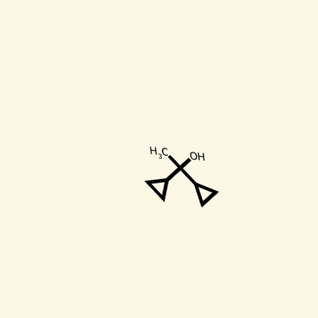 CC(O)(C1CC1)C1CC1